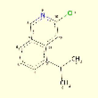 CC(C)c1cccc2cnc(Cl)cc12